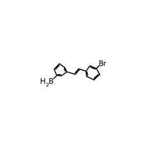 Bc1cccc(/C=C/c2cccc(Br)c2)c1